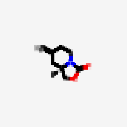 C=C1CCN2C(=O)OC[C@H]2C1